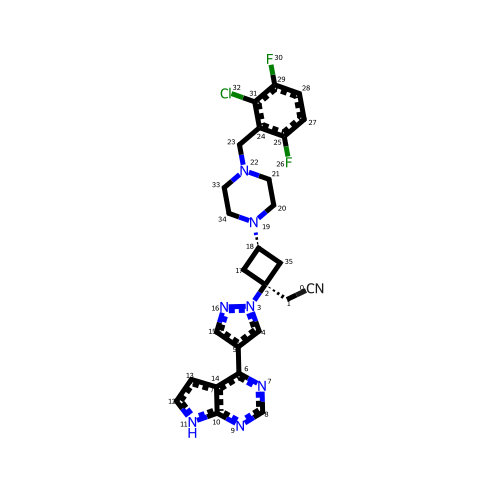 N#CC[C@]1(n2cc(-c3ncnc4[nH]ccc34)cn2)C[C@H](N2CCN(Cc3c(F)ccc(F)c3Cl)CC2)C1